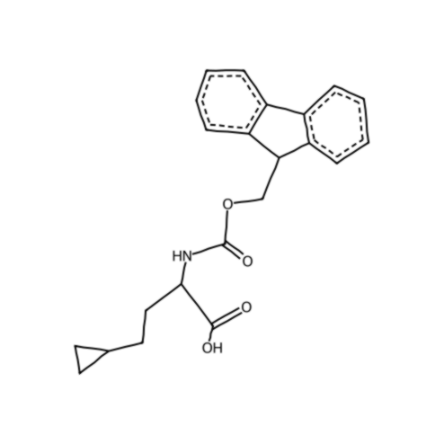 O=C(NC(CCC1CC1)C(=O)O)OCC1c2ccccc2-c2ccccc21